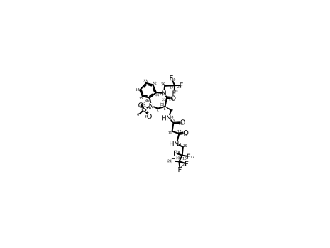 CS(=O)(=O)N1C[C@H](CNC(=O)CC(=O)NCC(F)(F)C(F)(F)F)C(=O)N(CC(F)(F)F)c2ccccc21